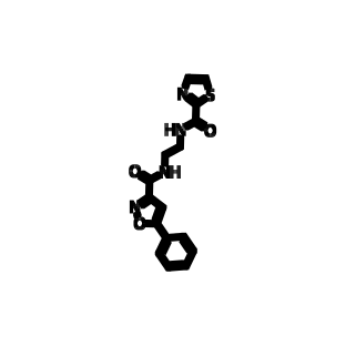 O=C(NCCNC(=O)c1nccs1)c1cc(-c2ccccc2)on1